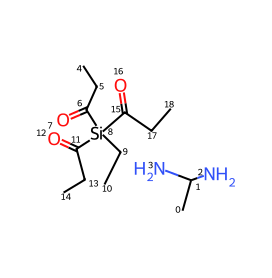 CC(N)N.CCC(=O)[Si](CC)(C(=O)CC)C(=O)CC